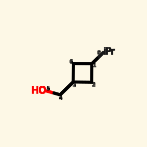 CC(C)C1CC(CO)C1